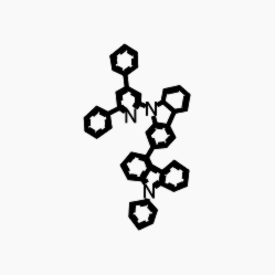 C1=CC2c3ccc(-c4cccc5c4c4ccccc4n5-c4ccccc4)cc3N(c3cc(-c4ccccc4)cc(-c4ccccc4)n3)C2C=C1